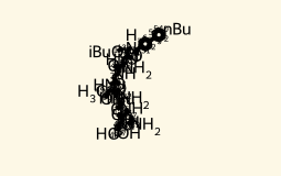 CCCCc1ccc(-c2ccc(C(=O)N[C@H](COCC(C)C)C(=O)N[C@H](N)C(=O)NCC(=O)N[C@H](C(=O)N[C@@H](N)C(=O)N[C@@H](CC(N)=O)C(=O)NCB(O)O)C(C)OCC(C)C)cc2)cc1